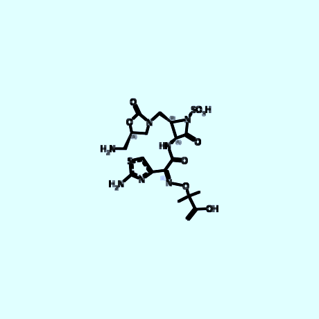 C=C(O)C(C)(C)O/N=C(\C(=O)N[C@@H]1C(=O)N(S(=O)(=O)O)[C@@H]1CN1C[C@@H](CN)OC1=O)c1csc(N)n1